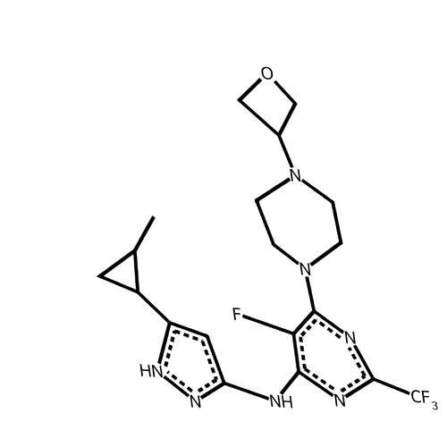 CC1CC1c1cc(Nc2nc(C(F)(F)F)nc(N3CCN(C4COC4)CC3)c2F)n[nH]1